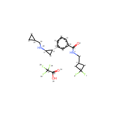 O=C(NCC1CC(F)(F)C1)c1cccc([C@@H]2C[C@H]2NCC2CC2)c1.O=C(O)C(F)(F)F